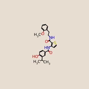 COc1ccccc1CCNC(=O)c1sccc1NC(=O)c1ccc(O)c(C(C)C)c1